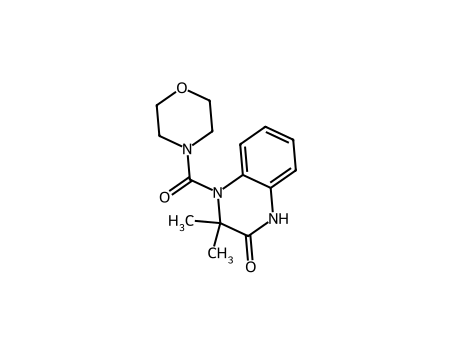 CC1(C)C(=O)Nc2ccccc2N1C(=O)N1CCOCC1